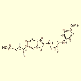 CSc1cnc(NC[C@H](C)CNc2nc3ccc(C(=O)NCC(=O)O)cc3s2)nc1